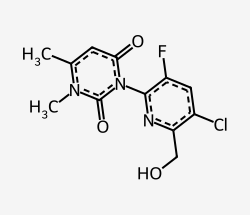 Cc1cc(=O)n(-c2nc(CO)c(Cl)cc2F)c(=O)n1C